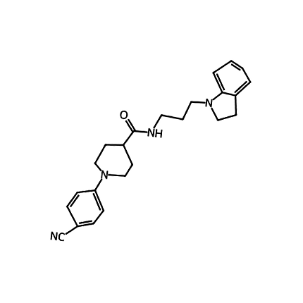 N#Cc1ccc(N2CCC(C(=O)NCCCN3CCc4ccccc43)CC2)cc1